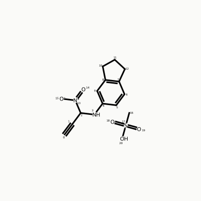 C#CC(Nc1ccc2c(c1)CCC2)[N+](=O)[O-].CS(=O)(=O)O